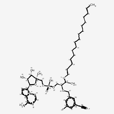 CCCCCCCCCCCCCCCCCO[C@@H](C)[C@H](COP(=O)(O)OC[C@@]1(C)O[C@@H](c2ccc3c(N)ncnn23)[C@H](O)[C@@H]1O)OCc1cc(F)cc(C#N)c1